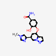 Cn1cnc(-c2cc(Oc3ccc(C(N)=O)cc3O)c3ccnn3c2)c1